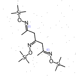 C/C(CC(C/C(C)=N/O[Si](C)(C)C)=NO[Si](C)(C)C)=N\O[Si](C)(C)C